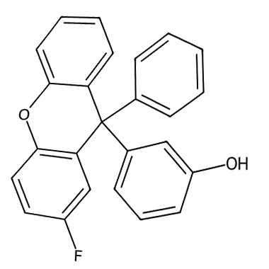 Oc1cccc(C2(c3ccccc3)c3ccccc3Oc3ccc(F)cc32)c1